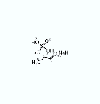 CCC=O.O=S(=O)(O)O.[NaH]